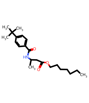 CCCCCCCOC(=O)CC(C)NC(=O)c1ccc(C(C)(C)C)cc1